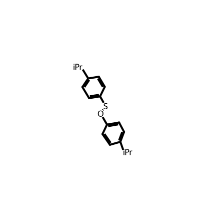 CC(C)c1ccc(OSc2ccc(C(C)C)cc2)cc1